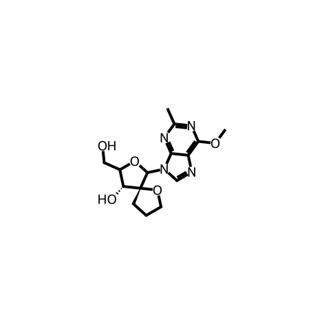 COc1nc(C)nc2c1ncn2C1OC(CO)[C@@H](O)[C@]12CCCO2